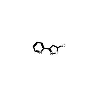 CCC1CC(c2ccccn2)=NO1